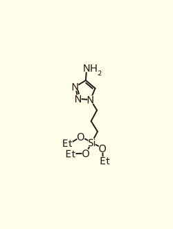 CCO[Si](CCCn1cc(N)nn1)(OCC)OCC